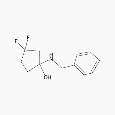 OC1(NCc2ccccc2)CCC(F)(F)C1